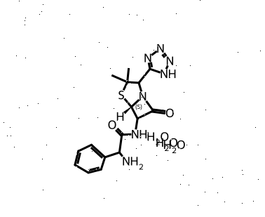 CC1(C)S[C@H]2C(NC(=O)C(N)c3ccccc3)C(=O)N2C1c1nnn[nH]1.O.O.O